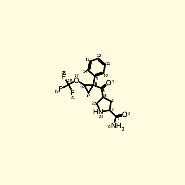 NC(=O)C1CC(C(=O)C2(c3ccccc3)CC2OC(F)(F)F)CN1